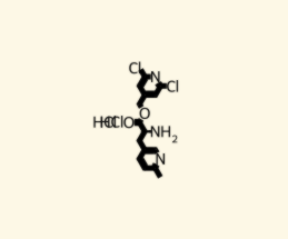 Cc1ccc(C[C@H](N)C(=O)OCc2cc(Cl)nc(Cl)c2)cn1.Cl.Cl